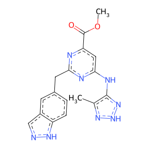 COC(=O)c1cc(Nc2n[nH]nc2C)nc(Cc2ccc3[nH]ncc3c2)n1